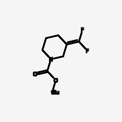 CC(C)(C)OC(=O)N1CCCC(=C(F)F)C1